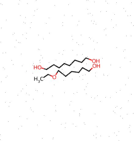 CCOCCCCCCO.OCCCCCCCCO